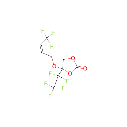 O=C1OCC(OC/C=C\C(F)(F)F)(C(F)(F)C(F)(F)F)O1